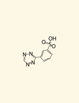 O=S(=O)(O)c1cccc(-c2nncnn2)c1